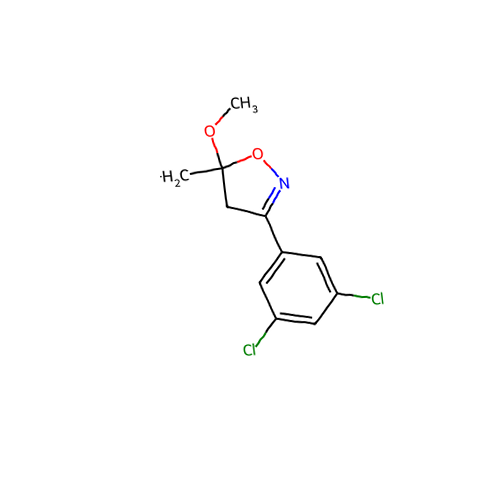 [CH2]C1(OC)CC(c2cc(Cl)cc(Cl)c2)=NO1